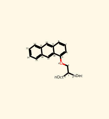 CCCCCCCCCCC(CCCCCCCC)COc1cccc2cc3ccccc3cc12